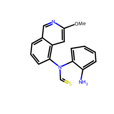 COc1cc2c(N(C=S)c3ccccc3N)cccc2cn1